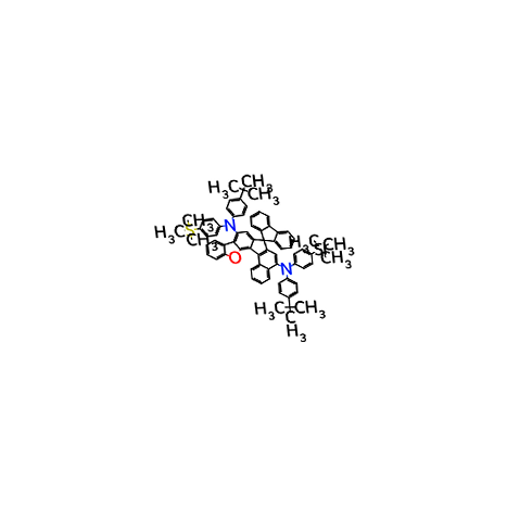 CC(C)(C)c1ccc(N(c2ccc([Si](C)(C)C)cc2)c2cc3c(c4ccccc24)-c2c(cc(N(c4ccc(C(C)(C)C)cc4)c4ccc(S(C)(C)C)cc4)c4c2oc2ccccc24)C32c3ccccc3-c3ccccc32)cc1